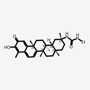 CCNC(=O)N[C@]1(C)CC[C@]2(C)CC[C@]3(C)C4=CC=C5C(=CC(=O)C(O)=C5C)[C@]4(C)CC[C@@]3(C)[C@@H]2C1